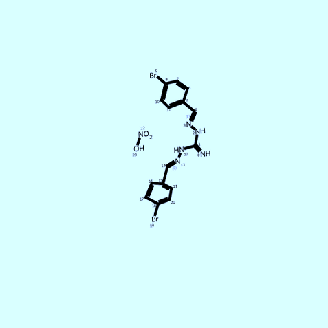 N=C(N/N=C/c1ccc(Br)cc1)N/N=C/c1ccc(Br)cc1.O=[N+]([O-])O